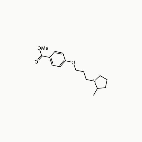 COC(=O)c1ccc(OCCCN2CCCC2C)cc1